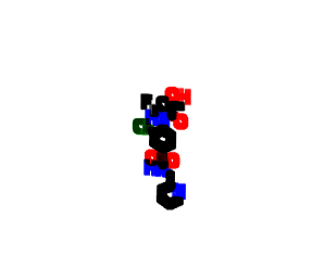 C[C@@](O)(C(=O)Nc1ccc(S(=O)(=O)NCc2ccccn2)cc1Cl)C(F)(F)F